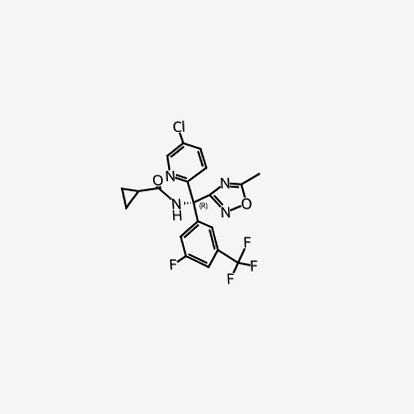 Cc1nc([C@@](NC(=O)C2CC2)(c2cc(F)cc(C(F)(F)F)c2)c2ccc(Cl)cn2)no1